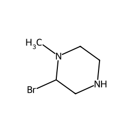 CN1CCNCC1Br